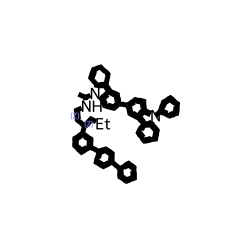 CC/C=C(/C=C\NC(C)n1c2c(c3cc(-c4ccc5c(c4)c4ccccc4n5-c4ccccc4)ccc31)CCC=C2)c1cccc(-c2ccc(-c3ccccc3)cc2)c1